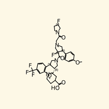 COC[C@H]1CN(C(=O)[C@]2(F)CN(CC(=O)N3CC[C@H](F)C3)C[C@H]2c2ccc(OC)cc2)C[C@@H]1c1ccc(C(F)(F)F)cc1N1CCC(C(=O)O)CC1